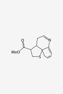 COC(=O)C1CSC23CC=CC=C2N=CCC13